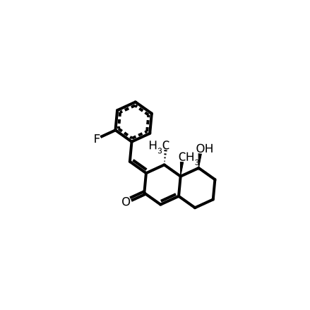 C[C@H]1/C(=C\c2ccccc2F)C(=O)C=C2CCC[C@H](O)[C@]21C